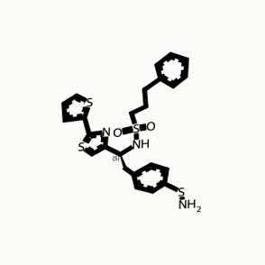 NSc1ccc(C[C@H](NS(=O)(=O)CCCc2ccccc2)c2csc(-c3cccs3)n2)cc1